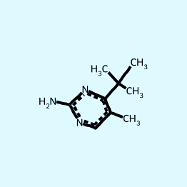 Cc1cnc(N)nc1C(C)(C)C